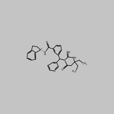 CCC1(CC)CC(=O)N(C(c2cccnc2)c2cccc(C(=O)N[C@H]3CCc4ccccc43)c2)C(=N)N1